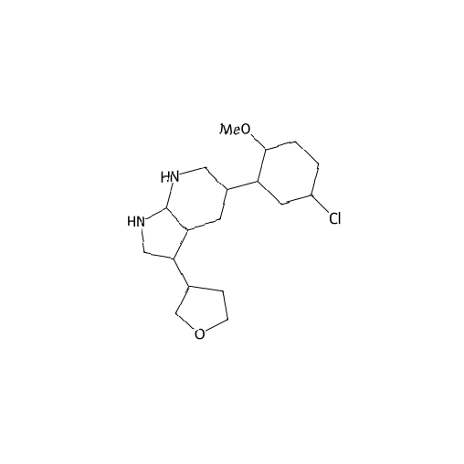 COC1CCC(Cl)CC1C1CNC2NCC(C3CCOC3)C2C1